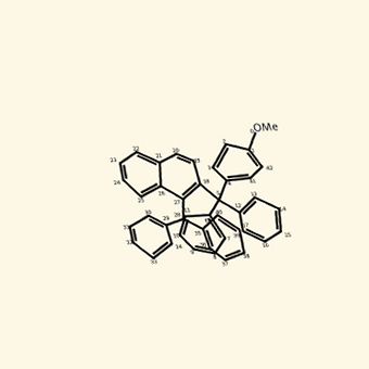 COc1ccc(C(c2ccccc2)(c2ccccc2)c2ccc3ccccc3c2[C](c2ccccc2)c2ccccc2)cc1